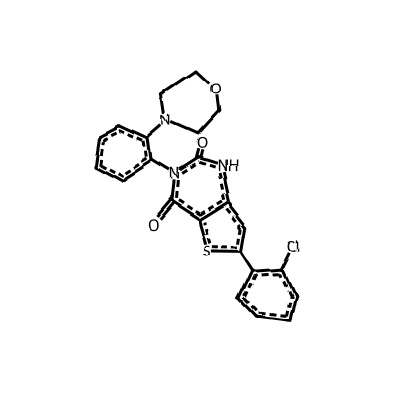 O=c1[nH]c2cc(-c3ccccc3Cl)sc2c(=O)n1-c1ccccc1N1CCOCC1